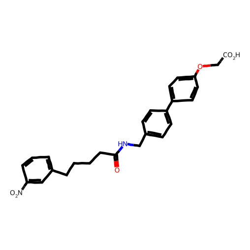 O=C(O)COc1ccc(-c2ccc(CNC(=O)CCCCc3cccc([N+](=O)[O-])c3)cc2)cc1